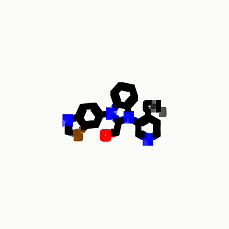 Cc1ccncc1N1c2ccccc2N(c2ccc3ncsc3c2)C1C=O